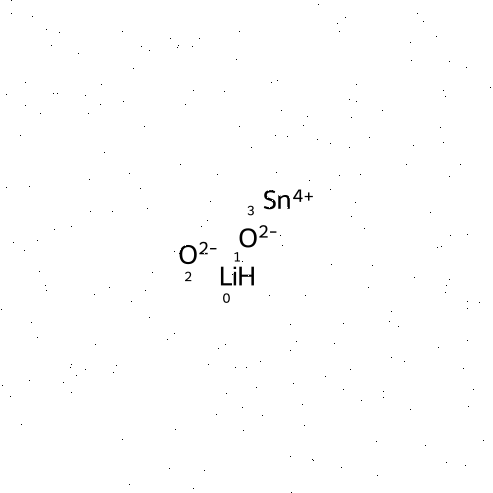 [LiH].[O-2].[O-2].[Sn+4]